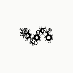 Cc1cc(N2CCOc3ccc(O[C@H]4CCN(C(=O)C5CCCCC5)C4)cc32)cnc1S(C)(=O)=O